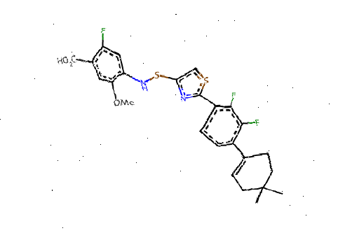 COc1cc(C(=O)O)c(F)cc1NSc1csc(-c2ccc(C3=CCC(C)(C)CC3)c(F)c2F)n1